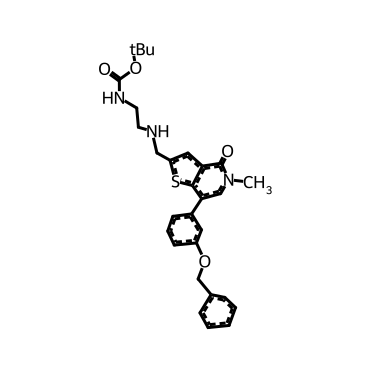 Cn1cc(-c2cccc(OCc3ccccc3)c2)c2sc(CNCCNC(=O)OC(C)(C)C)cc2c1=O